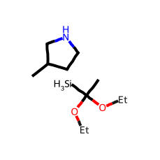 CC1CCNC1.CCOC(C)([SiH3])OCC